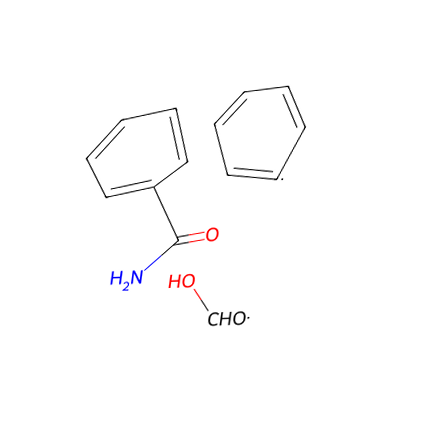 NC(=O)c1ccccc1.O=[C]O.[c]1ccccc1